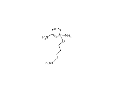 CCCCCCCCCCCCOC1(N)C=C(N)C=CC1